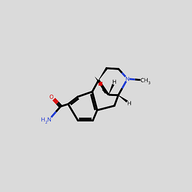 CN1CC[C@]23CCCC[C@H]2[C@H]1Cc1ccc(C(N)=O)cc13